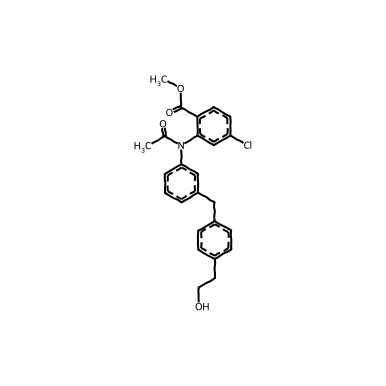 COC(=O)c1ccc(Cl)cc1N(C(C)=O)c1cccc(Cc2ccc(CCO)cc2)c1